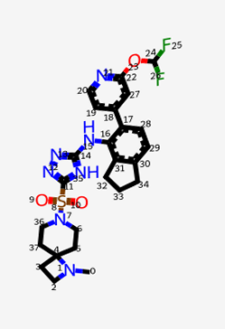 CN1CCC12CCN(S(=O)(=O)c1nnc(Nc3c(-c4ccnc(OC(F)F)c4)ccc4c3CCC4)[nH]1)CC2